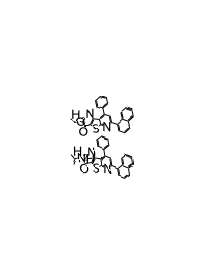 CC(C)NC(=O)c1sc2nc(-c3cccc4ccccc34)cc(-c3ccccc3)c2c1N.CCOC(=O)c1sc2nc(-c3cccc4ccccc34)cc(-c3ccccc3)c2c1N